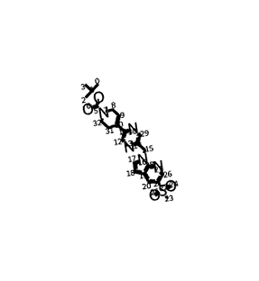 CC(C)(C)OC(=O)N1CC=C(c2cnc(Cn3ccc4cc(S(C)(=O)=O)cnc43)cn2)CC1